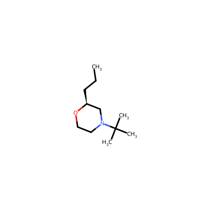 CCC[C@H]1CN(C(C)(C)C)CCO1